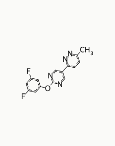 Cc1ccc(-c2cnc(Oc3cc(F)cc(F)c3)nc2)nn1